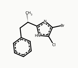 C[C@@H](Cc1ccccc1)c1nc(Br)c(Cl)[nH]1